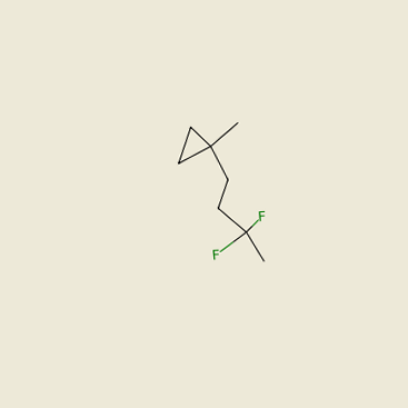 CC(F)(F)CCC1(C)CC1